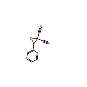 N#CC1(C#N)OC1c1ccccc1